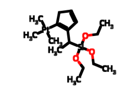 CCO[Si](OCC)(OCC)C(C)C1=[C]([Pt]([CH3])([CH3])[CH3])CC=C1